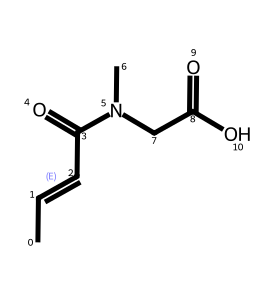 C/C=C/C(=O)N(C)CC(=O)O